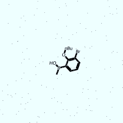 CCCCOc1c(Br)cccc1B(C)O